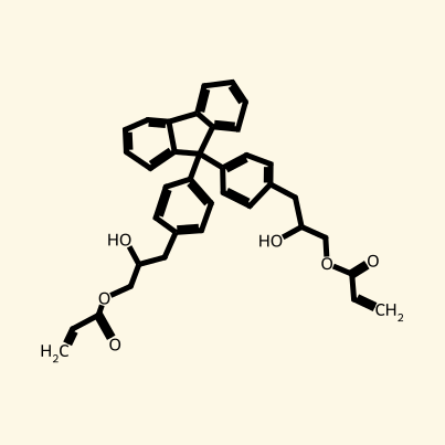 C=CC(=O)OCC(O)Cc1ccc(C2(c3ccc(CC(O)COC(=O)C=C)cc3)c3ccccc3-c3ccccc32)cc1